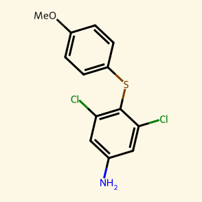 COc1ccc(Sc2c(Cl)cc(N)cc2Cl)cc1